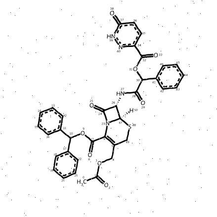 CC(=O)OCC1=C(C(=O)OC(c2ccccc2)c2ccccc2)N2C(=O)[C@H](NC(=O)C(OC(=O)c3ccc(=O)[nH]n3)c3ccccc3)[C@H]2SC1